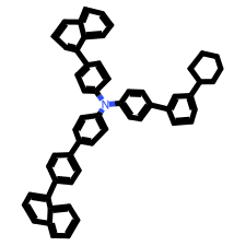 c1cc(-c2ccc(N(c3ccc(-c4ccc(-c5cccc6ccccc56)cc4)cc3)c3ccc(-c4cccc5ccccc45)cc3)cc2)cc(C2CCCCC2)c1